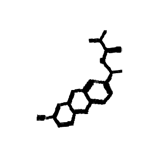 C=C(C)C(=O)OC(C)c1ccc2cc3ccc(O)cc3cc2c1